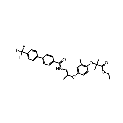 CCOC(=O)C(C)(C)Oc1ccc(OC(C)CNC(=O)c2ccc(-c3ccc(C(F)(F)F)cc3)cc2)cc1C